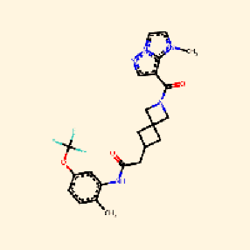 Cc1ccc(OC(F)(F)F)cc1NC(=O)CC1CC2(C1)CN(C(=O)c1cnn3ccn(C)c13)C2